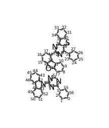 c1ccc(-c2nc(-c3cccc4c3oc3cccc(-c5nc(-c6ccccc6)c6sc7ccccc7c6n5)c34)nc(-n3c4ccccc4c4ccccc43)n2)cc1